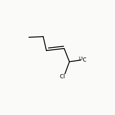 CCC=CC([13CH3])Cl